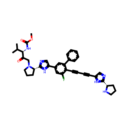 COC(=O)N[C@H](C(=O)CN1CCC[C@H]1c1ncc(-c2cc(F)c(C#CC#Cc3cnc([C@@H]4CCCN4)[nH]3)c(-c3ccccc3)c2)[nH]1)C(C)C